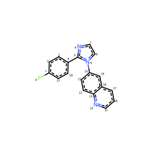 Fc1ccc(-c2nccn2-c2ccc3ncccc3c2)cc1